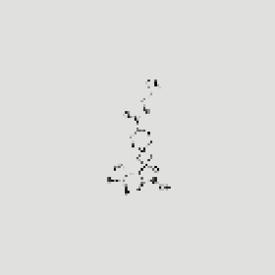 CCCNC(=O)N1CCC2(CC1)CC1(C2)OB(O)c2cnc3[nH]ccc3c21